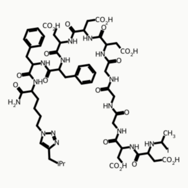 CC(C)Cc1cn(CCCCC(NC(=O)C(Cc2ccccc2)NC(=O)C(Cc2ccccc2)NC(=O)C(CC(=O)O)NC(=O)C(CC(=O)O)NC(=O)C(CC(=O)O)NC(=O)CNC(=O)CNC(=O)CNC(=O)C(CC(=O)O)NC(=O)C(CC(=O)O)NC(C)I)C(N)=O)nn1